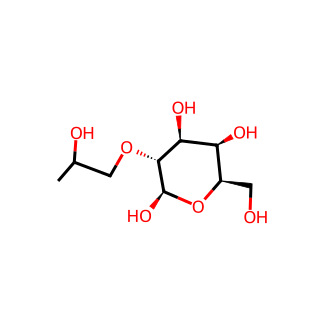 CC(O)CO[C@@H]1[C@@H](O)[C@@H](O)[C@@H](CO)O[C@H]1O